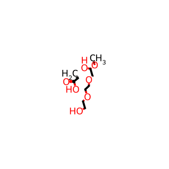 C=CC(=O)O.COC(O)COCCOCCO